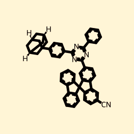 N#Cc1ccc2c(c1)-c1ccc(-c3nc(-c4ccccc4)nc(-c4ccc(C56C[C@H]7C[C@@H](C5)C[C@@H](C6)C7)cc4)n3)cc1C21c2ccccc2-c2ccccc21